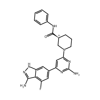 Nc1nc(-c2cc(F)c3c(N)n[nH]c3c2)cc(N2CCC[C@H](C(=O)Nc3ccccc3)C2)n1